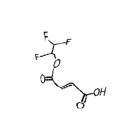 O=C(O)C=CC(=O)OC(F)C(F)F